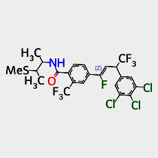 CSC(C)C(C)NC(=O)c1ccc(/C(F)=C/C(c2cc(Cl)c(Cl)c(Cl)c2)C(F)(F)F)cc1C(F)(F)F